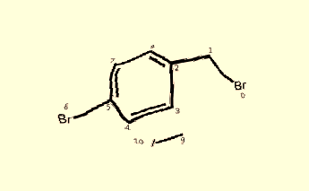 BrCc1ccc(Br)cc1.CI